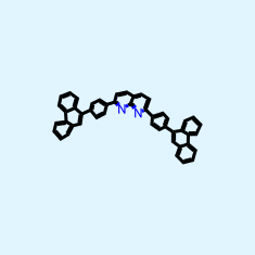 c1ccc2c(c1)cc(-c1ccc(-c3ccc4ccc(-c5ccc(-c6cc7ccccc7c7ccccc67)cc5)nc4n3)cc1)c1ccccc12